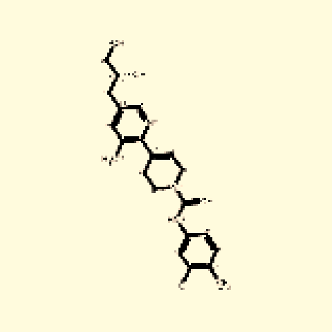 Cc1cc(NC(=O)N2CC=C(c3ncc(C[C@@H](O)CO)cc3C)CC2)ccc1C(F)(F)F